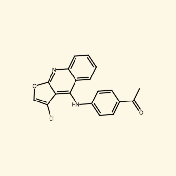 CC(=O)c1ccc(Nc2c3ccccc3nc3occ(Cl)c23)cc1